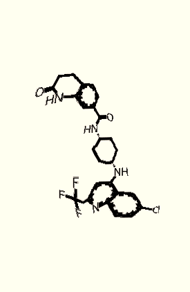 O=C1CCc2ccc(C(=O)N[C@H]3CC[C@@H](Nc4cc(C(F)(F)F)nc5ccc(Cl)cc45)CC3)cc2N1